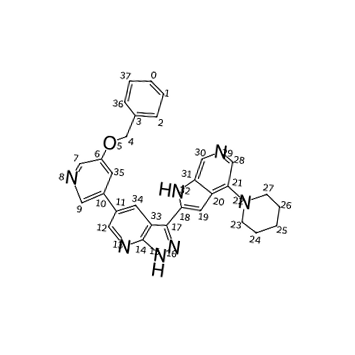 c1ccc(COc2cncc(-c3cnc4[nH]nc(-c5cc6c(N7CCCCC7)cncc6[nH]5)c4c3)c2)cc1